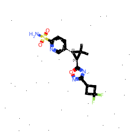 CC1(C)[C@@H](c2ccc(S(N)(=O)=O)nc2)[C@@H]1c1nc(C2CC(F)(F)C2)no1